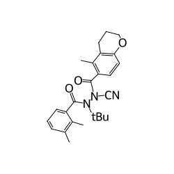 Cc1cccc(C(=O)N(N(C#N)C(=O)c2ccc3c(c2C)CCCO3)C(C)(C)C)c1C